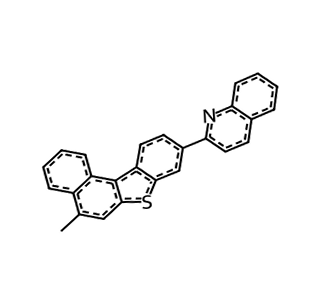 Cc1cc2sc3cc(-c4ccc5ccccc5n4)ccc3c2c2ccccc12